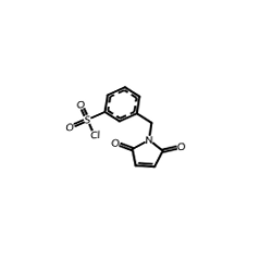 O=C1C=CC(=O)N1Cc1cccc(S(=O)(=O)Cl)c1